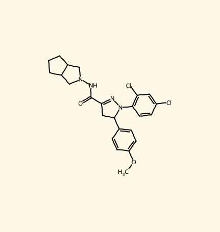 COc1ccc(C2CC(C(=O)NN3CC4CCCC4C3)=NN2c2ccc(Cl)cc2Cl)cc1